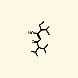 CCC(/C(O)=C/C(=O)C(C(C)C)C(C)C)C(C)C